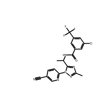 Cc1nc(C(C)NC(=O)c2cc(Cl)cc(C(F)(F)F)c2)n(-c2ccc(C#N)cn2)n1